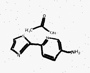 CC(=O)O.Nc1ccc(-c2nccs2)nc1